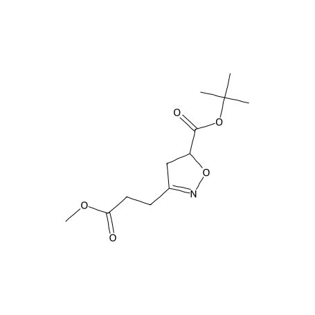 COC(=O)CCC1=NOC(C(=O)OC(C)(C)C)C1